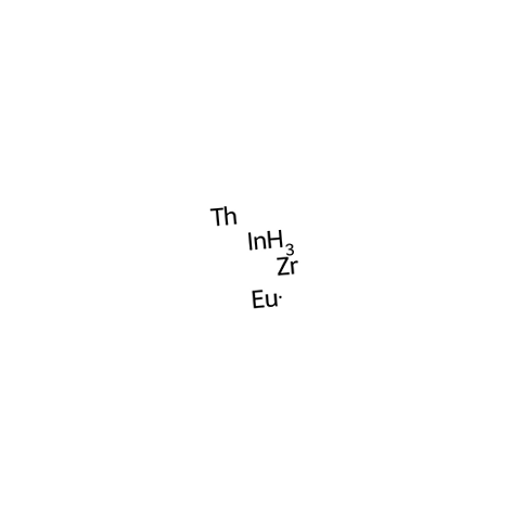 [Eu].[InH3].[Th].[Zr]